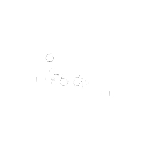 CCCCCSc1ncc(-c2ccc(O[C@H](C)C(=O)OCc3ccccc3)cc2)cn1